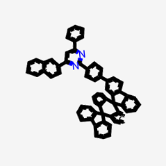 c1ccc(-c2cc(-c3ccc4ccccc4c3)nc(-c3ccc(-c4ccc5c(c4)C4(c6ccccc6-5)c5ccccc5C5(c6ccccc6-c6ccccc65)c5ccccc54)cc3)n2)cc1